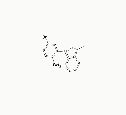 Cc1cn(-c2cc(Br)ccc2N)c2ccccc12